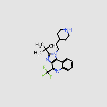 CC(C)(C)c1nc2c(C(F)(F)F)nc3ccccc3c2n1CCC1CCNCC1